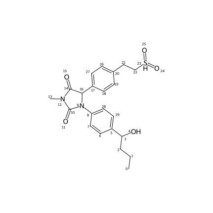 CCCC(O)c1ccc(N2C(=O)N(C)C(=O)C2c2ccc(CC[SH](=O)=O)cc2)cc1